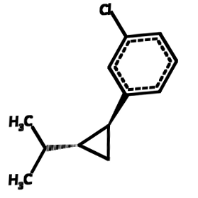 CC(C)[C@H]1C[C@@H]1c1cccc(Cl)c1